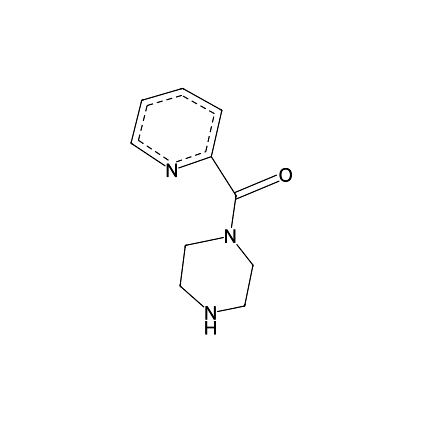 O=C(c1ccccn1)N1CCNCC1